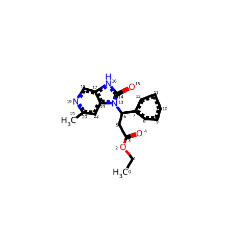 CCOC(=O)CC(c1ccccc1)n1c(=O)[nH]c2cnc(C)cc21